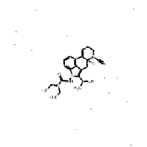 CCN(CC)C(=O)Nn1c(C(C)O)c2c3c(cccc31)C1=CCCN(C#N)[C@@H]1C2